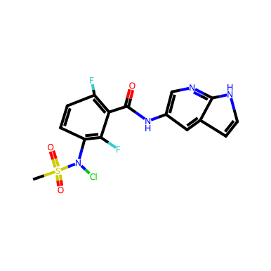 CS(=O)(=O)N(Cl)c1ccc(F)c(C(=O)Nc2cnc3[nH]ccc3c2)c1F